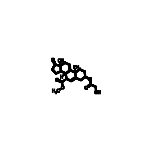 COC(=O)[C@@H]1C=C2CC(OC(=O)CO)CC[C@]2(C)C2=CC[C@]3(C)C(=O)CCC3[C@@H]21